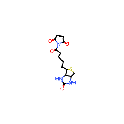 O=C1NC2CSC(CCCCC(=O)N3C(=O)CCC3=O)C2N1